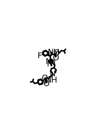 CC(C)CCOC(=O)c1[nH]c2ccc(F)cc2c1-c1cn(CC2CCN(CCNS(=O)(=O)c3ccc(CC(C)C)cc3)CC2)nn1